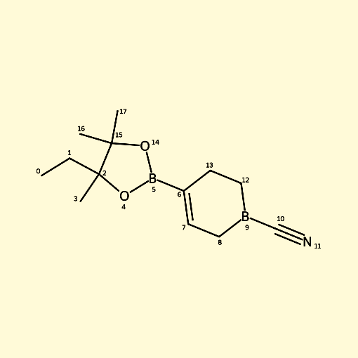 CCC1(C)OB(C2=CCB(C#N)CC2)OC1(C)C